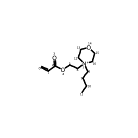 C=CC(=O)OCC[N+]1(CCCC)CCOCC1